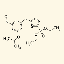 CCOP(=O)(OCC)c1ccc(Cc2cc(C=O)cc(OC(C)C)c2)s1